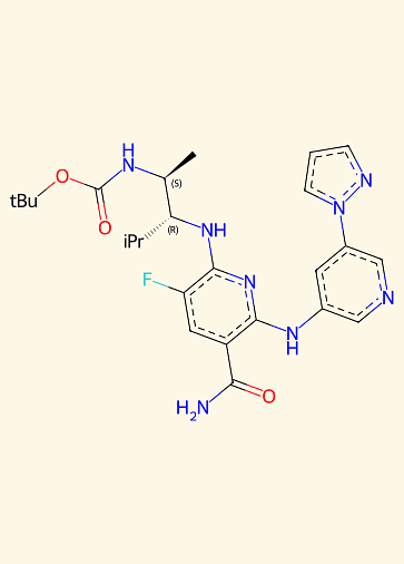 CC(C)[C@@H](Nc1nc(Nc2cncc(-n3cccn3)c2)c(C(N)=O)cc1F)[C@H](C)NC(=O)OC(C)(C)C